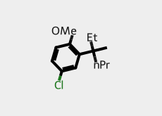 CCCC(C)(CC)c1cc(Cl)ccc1OC